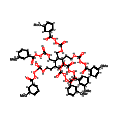 COc1cccc(C(=O)OOC(=O)OCCC(COC(=O)OOC(=O)c2cccc(OC)c2)C(COC(=O)OOC(=O)c2cccc(OC)c2)C(COC(=O)OOC(=O)c2cccc(OC)c2)C(CCOC(=O)OOC(=O)c2cccc(OC)c2)COC(=O)OOC(=O)c2cccc(OC)c2)c1